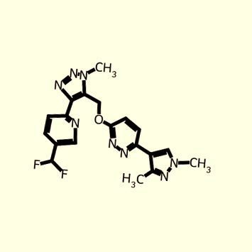 Cc1nn(C)cc1-c1ccc(OCc2c(-c3ccc(C(F)F)cn3)nnn2C)nn1